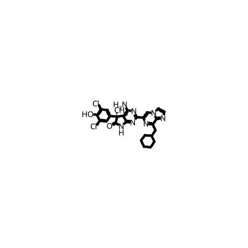 C[C@@]1(c2cc(Cl)c(O)c(Cl)c2)C(=O)Nc2nc(-c3cn4ccnc4c(CC4CCCCC4)n3)nc(N)c21